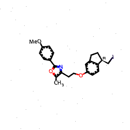 COc1ccc(-c2nc(CCOc3ccc4c(c3)CC[C@H]4CI)c(C)o2)cc1